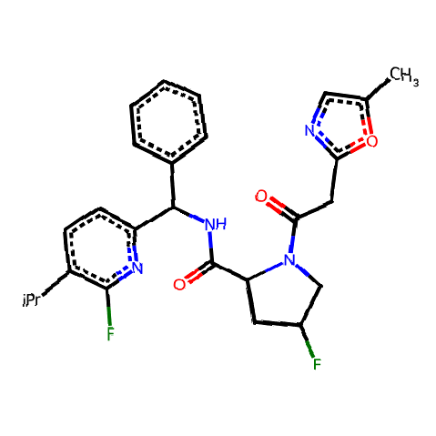 Cc1cnc(CC(=O)N2CC(F)CC2C(=O)NC(c2ccccc2)c2ccc(C(C)C)c(F)n2)o1